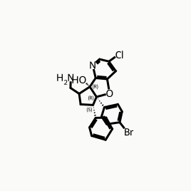 NCC1C[C@@H](c2ccccc2)[C@]2(c3ccc(Br)cc3)Oc3cc(Cl)cnc3[C@]12O